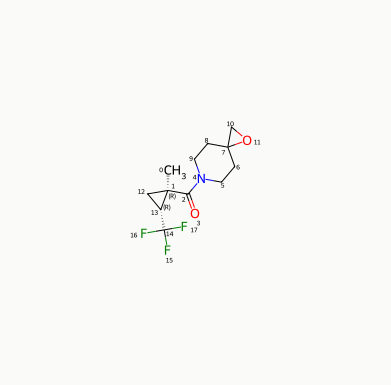 C[C@@]1(C(=O)N2CCC3(CC2)CO3)C[C@H]1C(F)(F)F